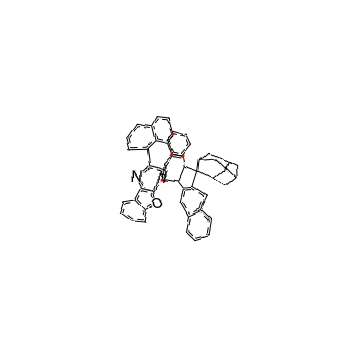 C1=CC2c3cc4ccccc4cc3C3(C4CC5CC(C4)CC3C5)C2C=C1c1cccc2cccc(-c3nc4c(nc3-c3ccccc3)oc3ccccc34)c12